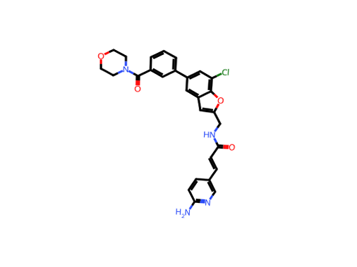 Nc1ccc(C=CC(=O)NCc2cc3cc(-c4cccc(C(=O)N5CCOCC5)c4)cc(Cl)c3o2)cn1